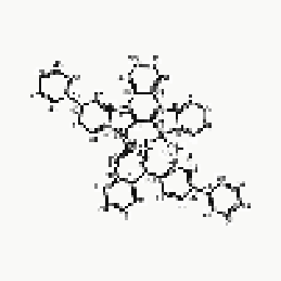 CC1(C)c2ccccc2-c2c1c1c(c3c(n1-c1nc(-c4ccc(-c5ccccc5)cc4)c4ccccc4n1)=CCC(c1ccccc1)C=3)c1ccccc21